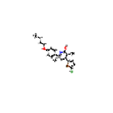 N#CC1=C(c2ccc(Cl)s2)C[C@](c2ccc(OCCCC(F)(F)F)cc2)(C(F)(F)F)NC1=O